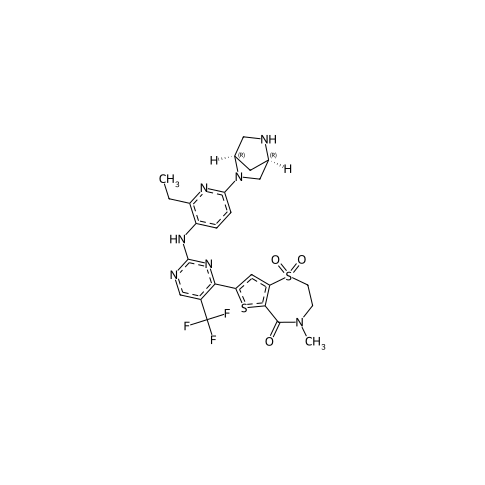 CCc1nc(N2C[C@H]3C[C@@H]2CN3)ccc1Nc1ncc(C(F)(F)F)c(-c2cc3c(s2)C(=O)N(C)CCS3(=O)=O)n1